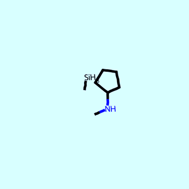 CNC1CCCC1.C[SiH3]